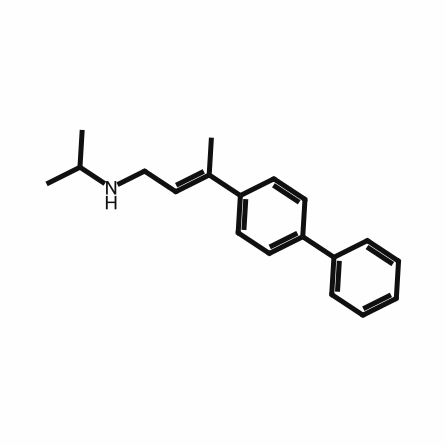 CC(=CCNC(C)C)c1ccc(-c2ccccc2)cc1